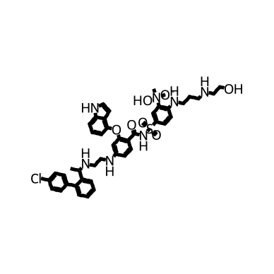 CC(NCCNc1ccc(C(=O)NS(=O)(=O)c2ccc(NCCCNCCO)c([N+](C)([O-])O)c2)c(Oc2cccc3[nH]ccc23)c1)c1ccccc1-c1ccc(Cl)cc1